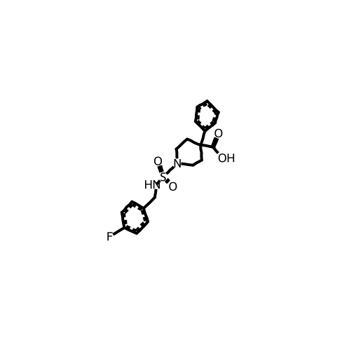 O=C(O)C1(c2ccccc2)CCN(S(=O)(=O)NCc2ccc(F)cc2)CC1